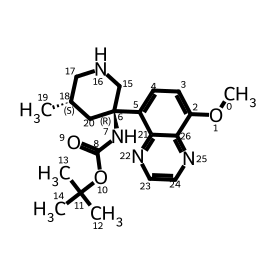 COc1ccc([C@@]2(NC(=O)OC(C)(C)C)CNC[C@@H](C)C2)c2nccnc12